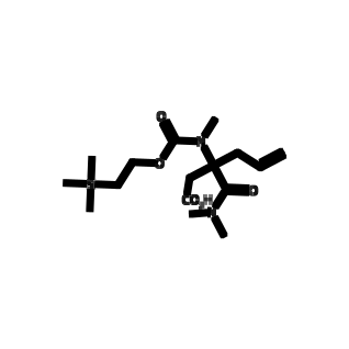 C=CCC(CC(=O)O)(C(=O)N(C)C)N(C)C(=O)OCC[Si](C)(C)C